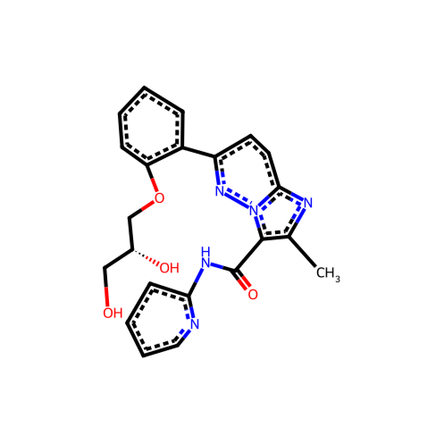 Cc1nc2ccc(-c3ccccc3OC[C@H](O)CO)nn2c1C(=O)Nc1ccccn1